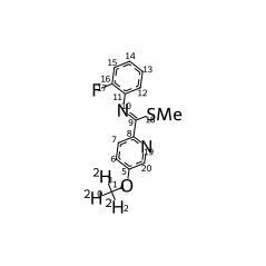 [2H]C([2H])([2H])Oc1ccc(C(=Nc2ccccc2F)SC)nc1